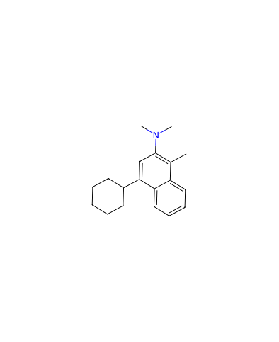 Cc1c(N(C)C)cc(C2CCCCC2)c2ccccc12